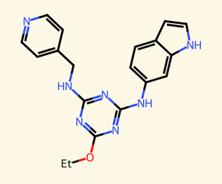 CCOc1nc(NCc2ccncc2)nc(Nc2ccc3cc[nH]c3c2)n1